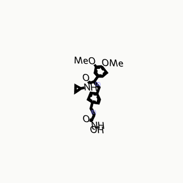 COc1ccc(/C(=C/c2ccc(/C=C/C(=O)NO)cc2)C(=O)NC2CC2)cc1OC